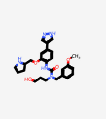 COc1cccc(CN(CCCO)C(=O)Nc2ccc(-c3cn[nH]c3)cc2OCC2CCCN2)c1